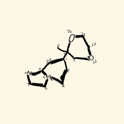 CC1(c2ccn3ccnc3c2)COCCO1